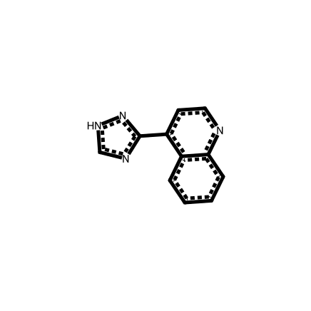 c1ccc2c(-c3nc[nH]n3)ccnc2c1